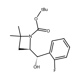 CC(C)(C)OC(=O)N1[C@@H]([C@@H](O)c2ccccc2F)CC1(C)C